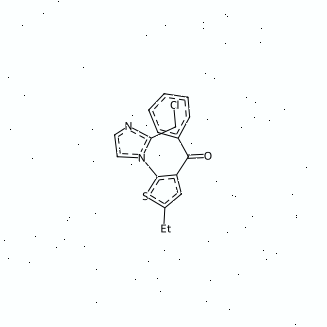 CCc1cc(C(=O)c2ccccc2)c(-n2ccnc2CCl)s1